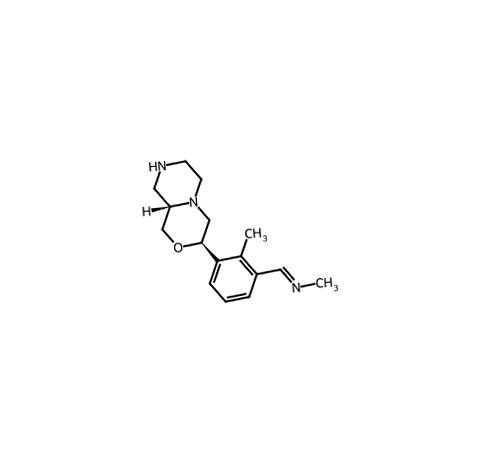 C/N=C/c1cccc([C@@H]2CN3CCNC[C@H]3CO2)c1C